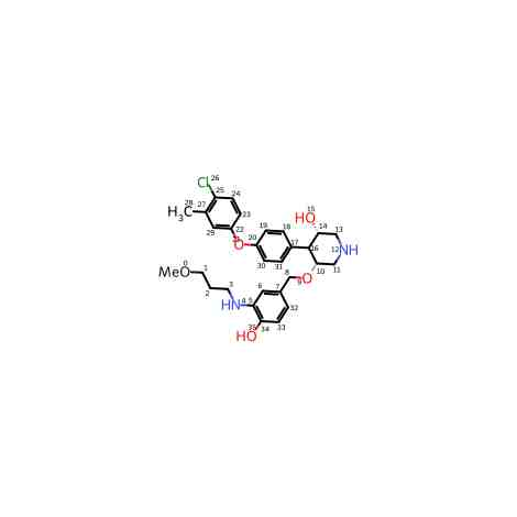 COCCCNc1cc(CO[C@H]2CNC[C@@H](O)C2c2ccc(Oc3ccc(Cl)c(C)c3)cc2)ccc1O